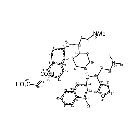 CNCCC(Oc1ccc2ccccc2c1)C1CCCCC1.Cc1cc(OC(CCN(C)C)c2ccoc2)cc2ccccc12.O=C(O)/C=C\C(=O)O